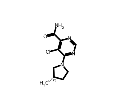 C[C@H]1CCN(c2ncnc(C(N)=O)c2Cl)C1